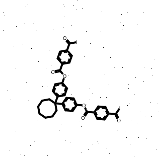 O=C(I)c1ccc(C(=O)Oc2ccc(C3(c4ccc(OC(=O)c5ccc(C(=O)I)cc5)cc4)CCCCCCC3)cc2)cc1